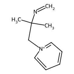 C=NC(C)(C)C[n+]1ccccc1